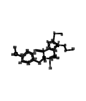 C=C1c2cc(CC)n(CCC)c2N=C(C)N1Cc1ccc(OC)cc1